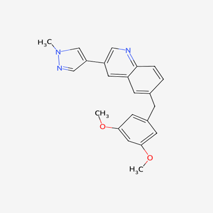 COc1cc(Cc2ccc3ncc(-c4cnn(C)c4)cc3c2)cc(OC)c1